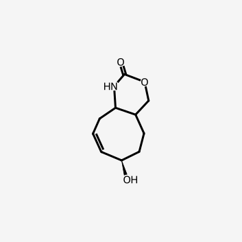 O=C1NC2C/C=C\[C@H](O)CCC2CO1